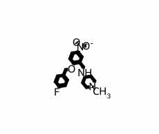 CN1CCC(NCc2cc([N+](=O)[O-])ccc2OCc2ccc(F)cc2)CC1